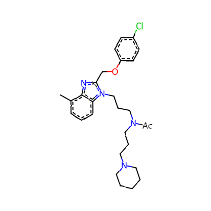 CC(=O)N(CCCN1CCCCC1)CCCn1c(COc2ccc(Cl)cc2)nc2c(C)cccc21